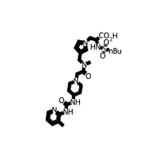 CCCCS(=O)(=O)NC(Cn1ccc(CN(C)C(=O)CN2CCC(NC(=O)Nc3ncccc3C)CC2)c1)C(=O)O